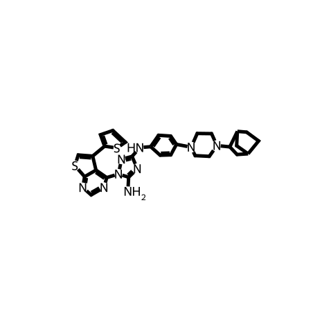 Nc1nc(Nc2ccc(N3CCN(C4CC5CCC4C5)CC3)cc2)nn1-c1ncnc2scc(-c3cccs3)c12